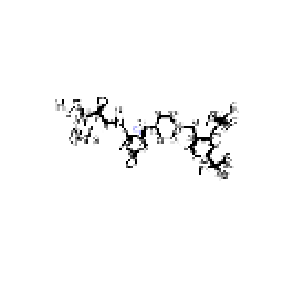 CN(C)C(=O)CNC1=NC(=O)S/C1=C\C1CCN(Cc2ccc(C(F)(F)F)cc2C(F)(F)F)CC1